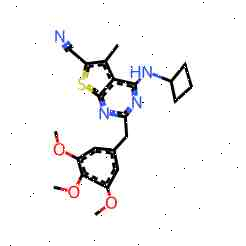 COc1cc(Cc2nc(NC3CCC3)c3c(C)c(C#N)sc3n2)cc(OC)c1OC